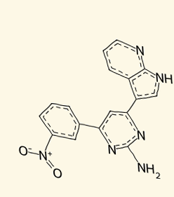 Nc1nc(-c2cccc([N+](=O)[O-])c2)cc(-c2c[nH]c3ncccc23)n1